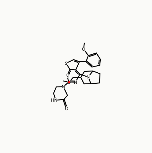 COCC1CC2CCC(C1)N2c1nc(N2CCNC(=O)C2)nc2scc(-c3ccccc3OC)c12